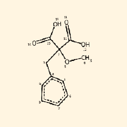 COC(Cc1ccccc1)(C(=O)O)C(=O)O